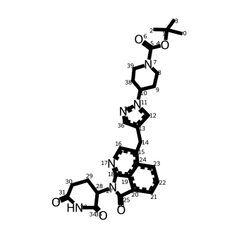 CC(C)(C)OC(=O)N1CCC(n2cc(Cc3cnc4c5c(cccc35)C(=O)N4C3CCC(=O)NC3=O)cn2)CC1